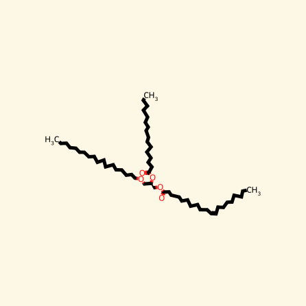 CCCCCCCC/C=C\CCCCCCCCCC(=O)OC[C@@H](COCCCCCCCCCCCCCCCCCC)OC(=O)CCCCCCCCCCCCCCC